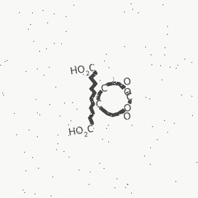 O=C(O)CCCCCCCCCCCC(=O)O.O=C1CCCCCCCCCCCC(=O)OCCO1